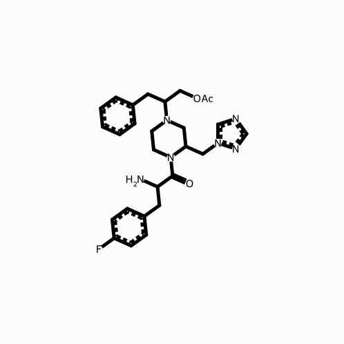 CC(=O)OCC(Cc1ccccc1)N1CCN(C(=O)C(N)Cc2ccc(F)cc2)C(Cn2cncn2)C1